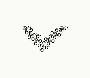 O=P([O-])([O-])[O-].O=P([O-])([O-])[O-].O=P([O-])([O-])[O-].O=P([O-])([O-])[O-].O=P([O-])([O-])[O-].[Zr+3].[Zr+4].[Zr+4].[Zr+4]